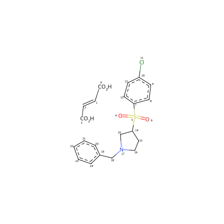 O=C(O)C=CC(=O)O.O=S(=O)(c1ccc(Cl)cc1)C1CCN(Cc2ccccc2)C1